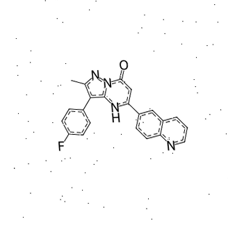 Cc1nn2c(=O)cc(-c3ccc4ncccc4c3)[nH]c2c1-c1ccc(F)cc1